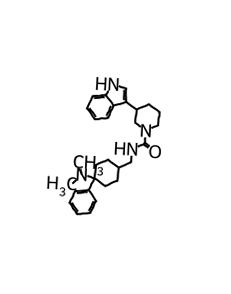 CN(C)C1(c2ccccc2)CCC(CNC(=O)N2CCCC(c3c[nH]c4ccccc34)C2)CC1